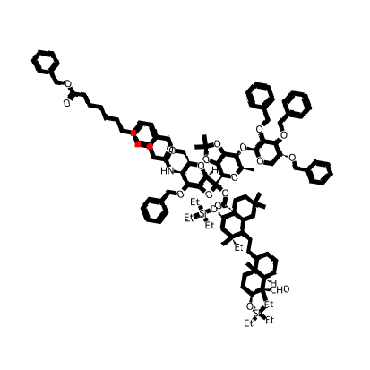 CC[C@]1(C)C[C@H](O[Si](CC)(CC)CC)[C@@]2(C(=O)OC3([C@@H]4O[C@H](C)[C@H](O[C@@H]5OC[C@@H](OCc6ccccc6)C(OCc6ccccc6)C5OCc5ccccc5)C5OC(C)(C)OC54)OC4C(OCc5ccccc5)[C@@H](NC(=O)CCCCCCCCCCC(=O)OCc5ccccc5)[C@@H](COCc5ccccc5)O[C@H]43)CCC(C)(C)CC2C1CCC1CCC[C@@H]2C1(C)CC[C@H](O[Si](CC)(CC)CC)[C@]2(C)C=O